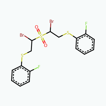 O=S(=O)(C(Br)CSc1ccccc1F)C(Br)CSc1ccccc1F